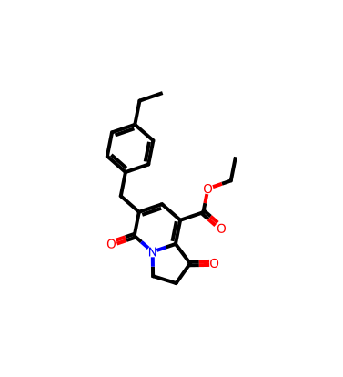 CCOC(=O)c1cc(Cc2ccc(CC)cc2)c(=O)n2c1C(=O)CC2